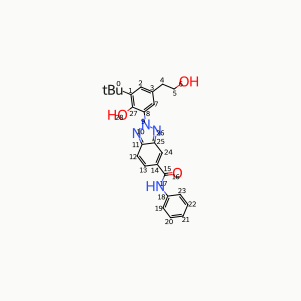 CC(C)(C)c1cc(CCO)cc(-n2nc3ccc(C(=O)Nc4ccccc4)cc3n2)c1O